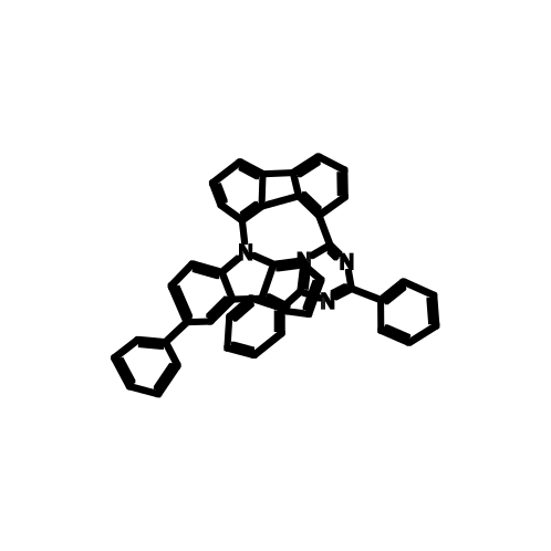 c1ccc(-c2ccc3c(c2)c2ccccc2n3-c2cccc3c2-c2c(-c4nc(-c5ccccc5)nc(-c5ccccc5)n4)cccc2-3)cc1